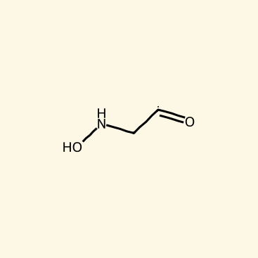 O=[C]CNO